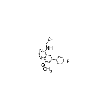 COc1cc(-c2ccc(F)cc2)cc2c(NCC3CC3)ncnc12